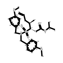 C=CC[C@@H](C)[C@H](CC(=O)OC(C)C)S(=O)(=O)N(Cc1ccc(OC)cc1)Cc1ccc(OC)cc1